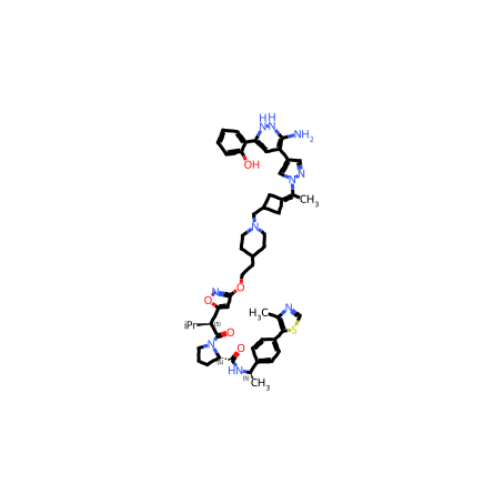 CC(=C1CC(CN2CCC(CCOc3cc([C@@H](C(=O)N4CCC[C@H]4C(=O)N[C@@H](C)c4ccc(-c5scnc5C)cc4)C(C)C)on3)CC2)C1)n1cc(C2=C(N)NNC(c3ccccc3O)=C2)cn1